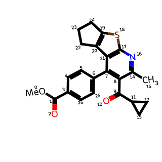 COC(=O)c1ccc(-c2c(C(=O)C3CC3)c(C)nc3sc4c(c23)CCC4)cc1